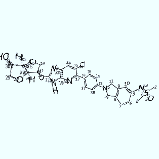 CS(C)(=O)=Nc1ccc2c(c1)CN(c1ccc(-c3nc4[nH]c(O[C@@H]5CO[C@H]6[C@@H]5OC[C@H]6O)nc4cc3Cl)cc1)C2